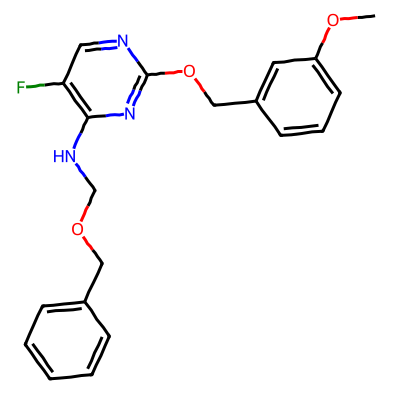 COc1cccc(COc2ncc(F)c(NCOCc3ccccc3)n2)c1